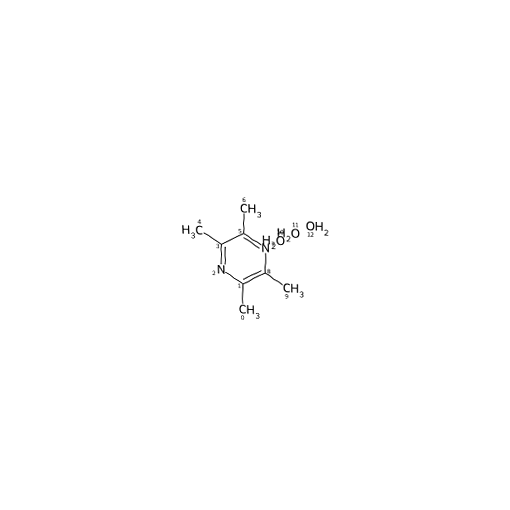 Cc1nc(C)c(C)nc1C.O.O.O